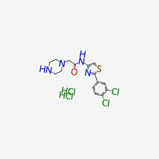 Cl.Cl.O=C(CN1CCNCC1)Nc1csc(-c2ccc(Cl)c(Cl)c2)n1